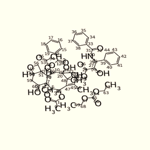 CC(=O)O[C@H]1C(=O)[C@@]2(C)[C@H]([C@H](OC(=O)c3ccccc3)[C@]3(O)C[C@H](OC(=O)[C@H](O)[C@@H](NC(=O)c4ccccc4)c4ccccc4)C(C)=C1C3(C)C)[C@]1(OC(C)=O)CO[C@@H]1C[C@@H]2O.CCOC(=O)OCC